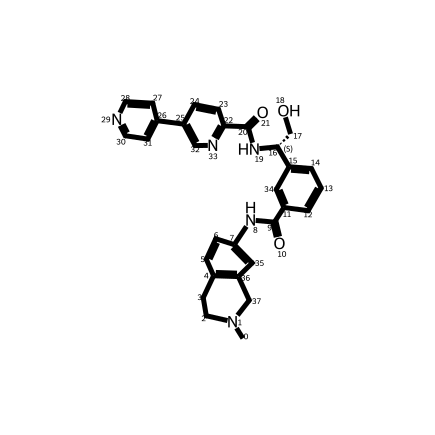 CN1CCc2ccc(NC(=O)c3cccc([C@@H](CO)NC(=O)c4ccc(-c5ccncc5)cn4)c3)cc2C1